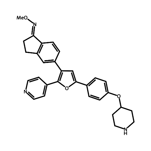 CON=C1CCc2cc(-c3cc(-c4ccc(OC5CCNCC5)cc4)oc3-c3ccncc3)ccc21